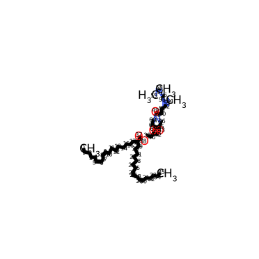 CCCCC/C=C\C/C=C\CCCCCCCCC(CCCCCCC/C=C\C/C=C\CCCCC)C(=O)OCCC1COC2(CCN(C(=O)CCCN(C)CCN(C)C)CC2)O1